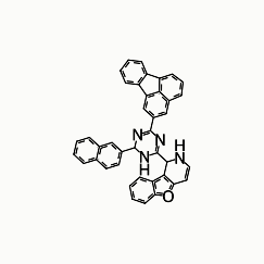 C1=Cc2oc3ccccc3c2C(C2=NC(c3cc4c5c(cccc5c3)-c3ccccc3-4)=NC(c3ccc4ccccc4c3)N2)N1